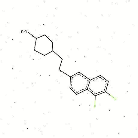 CCCC1CCC(CCc2ccc3c(F)c(F)ccc3c2)CC1